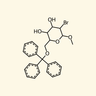 COC1OC(COC(c2ccccc2)(c2ccccc2)c2ccccc2)C(O)C(O)C1Br